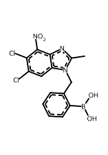 Cc1nc2c([N+](=O)[O-])c(Cl)c(Cl)cc2n1Cc1ccccc1B(O)O